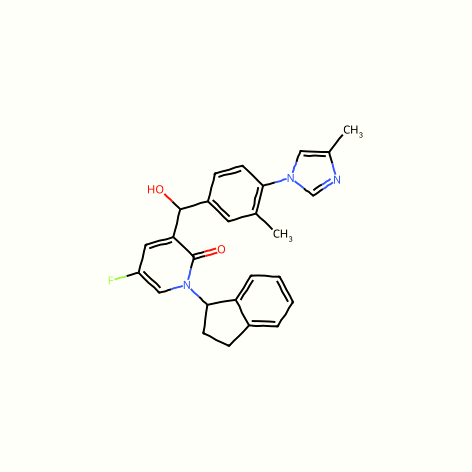 Cc1cn(-c2ccc(C(O)c3cc(F)cn(C4CCc5ccccc54)c3=O)cc2C)cn1